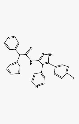 O=C(Nc1n[nH]c(-c2ccc(F)cc2)c1-c1ccncc1)C(c1ccccc1)c1ccccc1